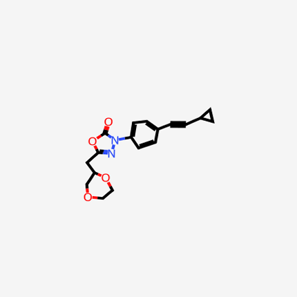 O=c1oc(CC2COCCO2)nn1-c1ccc(C#CC2CC2)cc1